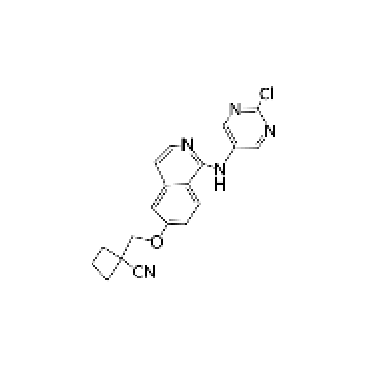 N#CC1(COc2ccc3c(Nc4cnc(Cl)nc4)nccc3c2)CCC1